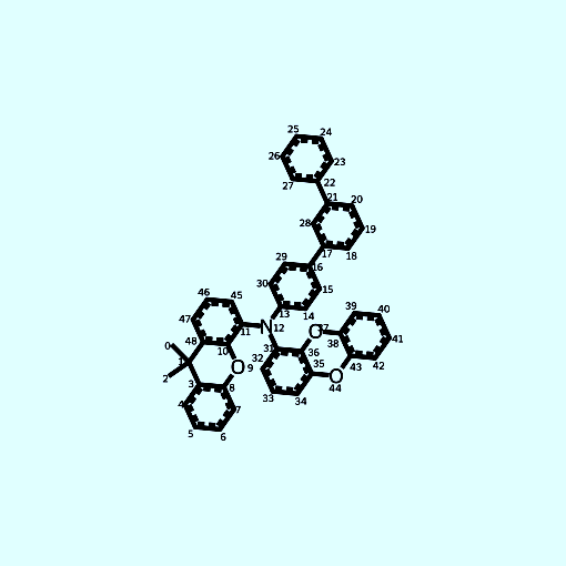 CC1(C)c2ccccc2Oc2c(N(c3ccc(-c4cccc(-c5ccccc5)c4)cc3)c3cccc4c3Oc3ccccc3O4)cccc21